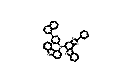 c1ccc(-c2nc3c(cc(N(c4ccc(-c5cccc6ccccc56)cc4)c4cccc5oc6ccccc6c45)c4oc5ccccc5c43)o2)cc1